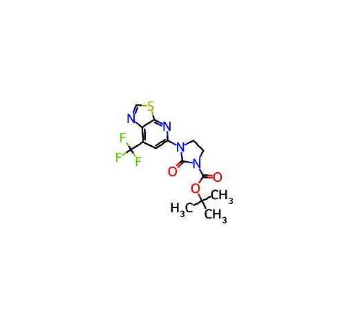 CC(C)(C)OC(=O)N1CCN(c2cc(C(F)(F)F)c3ncsc3n2)C1=O